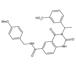 COc1ccc(CNC(=O)c2ccc3[nH]c(=O)n(C(C)c4cccc(C(=O)O)c4)c(=O)c3c2)cc1